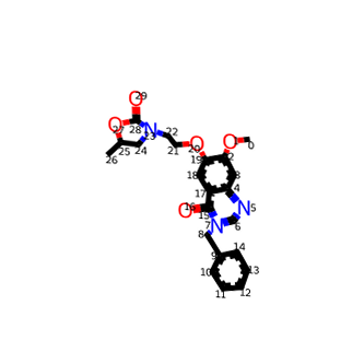 COc1cc2ncn(Cc3ccccc3)c(=O)c2cc1OCCN1CC(C)OC1=O